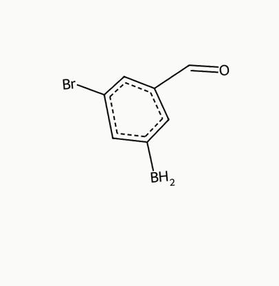 Bc1cc(Br)cc(C=O)c1